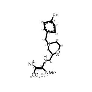 CCOC(=O)/C(C#N)=C(\NC)NCC1CN(Cc2ccc(F)cc2)CCO1